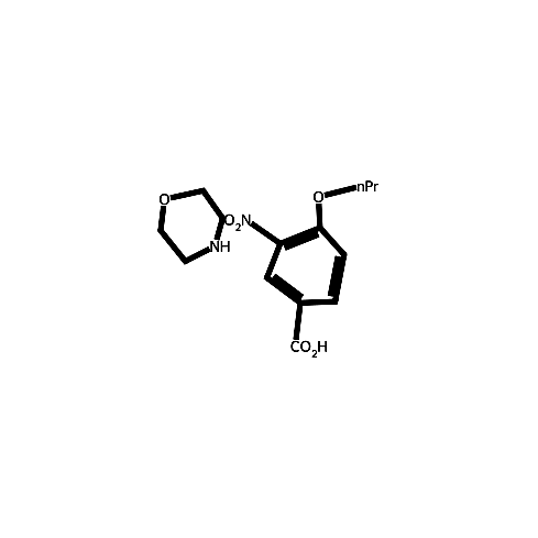 C1COCCN1.CCCOc1ccc(C(=O)O)cc1[N+](=O)[O-]